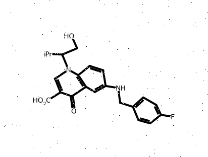 CC(C)C(CO)n1cc(C(=O)O)c(=O)c2cc(NCc3ccc(F)cc3)ccc21